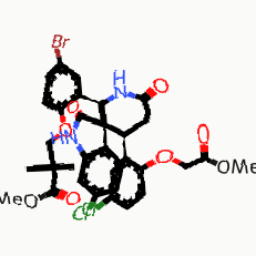 COC(=O)COc1ccc(Cl)cc1[C@@H]1CC(=O)N[C@H](c2cc(Br)ccc2OCC(C)(C)C(=O)OC)[C@@]12C(=O)Nc1cc(Cl)ccc12